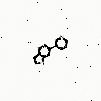 [c]1cc(-c2cccnc2)cc2occc12